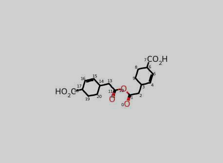 O=C(CC1C=CC(C(=O)O)CC1)OC(=O)CC1C=CC(C(=O)O)CC1